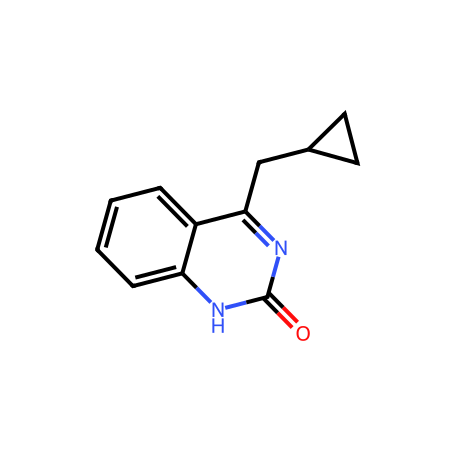 O=c1nc(CC2CC2)c2ccccc2[nH]1